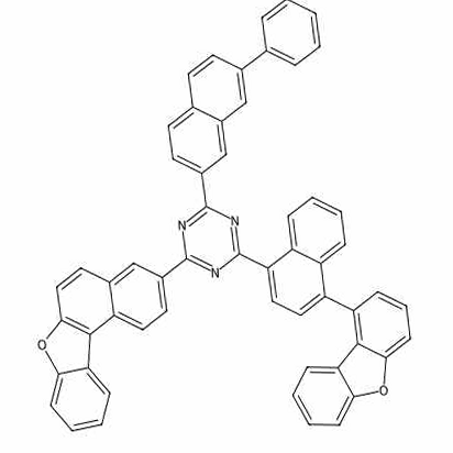 c1ccc(-c2ccc3ccc(-c4nc(-c5ccc6c(ccc7oc8ccccc8c76)c5)nc(-c5ccc(-c6cccc7oc8ccccc8c67)c6ccccc56)n4)cc3c2)cc1